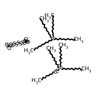 CCCCCCCCCCCC[P+](CCCCCCCCCCCC)(CCCCCCCCCCCC)CCCCCCCCCCCC.CCCCCCCCCCCC[P+](CCCCCCCCCCCC)(CCCCCCCCCCCC)CCCCCCCCCCCC.[O]=[Sn]([O-])[O]SSSSSS[O][Sn](=[O])[O-]